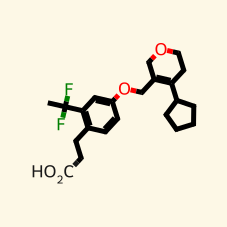 CC(F)(F)c1cc(OCC2=C(C3CCCC3)CCOC2)ccc1CCC(=O)O